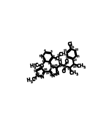 COc1ccnc(OC)c1-n1c(NS(=O)(=O)C(C)C(C)c2ccc(Cl)cc2)nnc1-c1ccn(C)n1